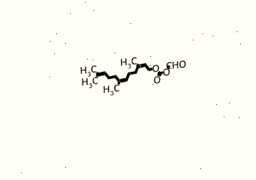 CC(C)=CCCC(C)=CCCC(C)=CCOC(=O)OC=O